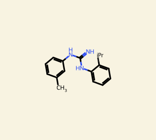 Cc1cccc(NC(=N)Nc2ccccc2C(C)C)c1